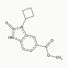 COC(=O)c1ccc2[nH]c(=O)n(C3CCC3)c2c1